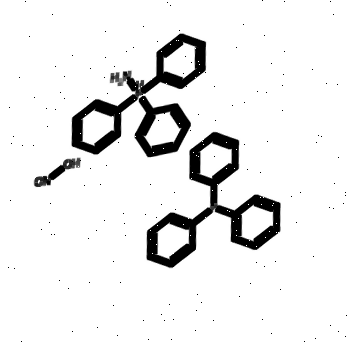 N[PH](c1ccccc1)(c1ccccc1)c1ccccc1.O=NO.c1ccc(P(c2ccccc2)c2ccccc2)cc1